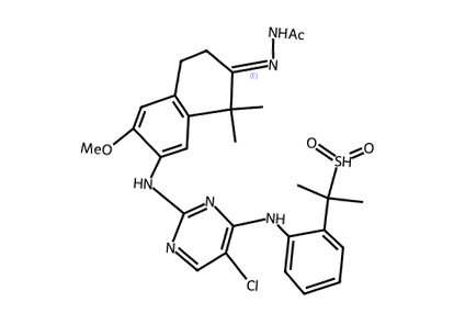 COc1cc2c(cc1Nc1ncc(Cl)c(Nc3ccccc3C(C)(C)[SH](=O)=O)n1)C(C)(C)/C(=N/NC(C)=O)CC2